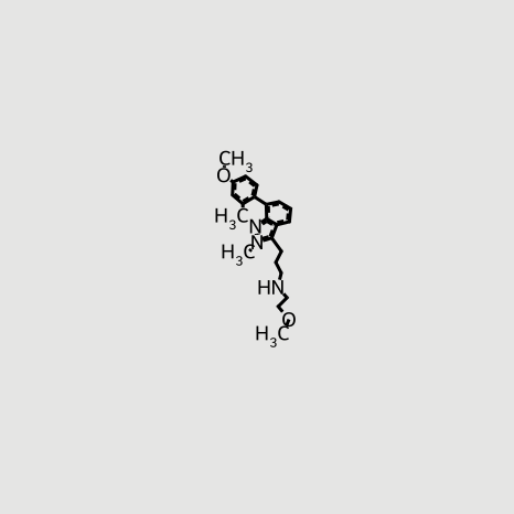 COCCNCCCc1c2cccc(-c3ccc(OC)cc3C)c2nn1C